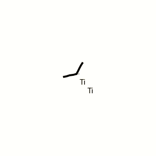 C[CH]C.[Ti].[Ti]